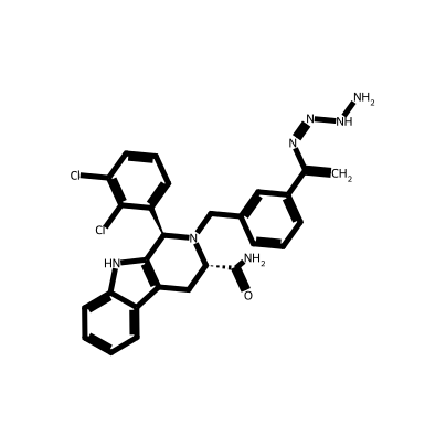 C=C(/N=N\NN)c1cccc(CN2[C@H](c3cccc(Cl)c3Cl)c3[nH]c4ccccc4c3C[C@H]2C(N)=O)c1